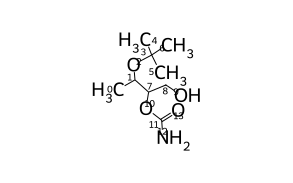 CC(OC(C)(C)C)C(CO)OC(N)=O